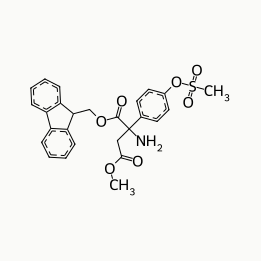 COC(=O)CC(N)(C(=O)OCC1c2ccccc2-c2ccccc21)c1ccc(OS(C)(=O)=O)cc1